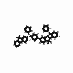 CC1(C)c2ccccc2-c2ccc(N(c3ccccc3)c3ccc(-c4ccc5c(c4)-c4c(c6ccccc6n4-c4ccccc4)C5(C)C)cc3)cc21